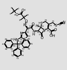 CC(C)(C)OC(=O)C(C)(C)O/N=C(\C(=O)NC1C(=O)N2C(C(=O)O)=C(CSC#N)CS[C@@H]12)c1csc(NC(c2ccccc2)(c2ccccc2)c2ccccc2)n1